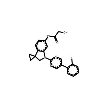 O=C(CO)Nc1ccc2c(c1)N(c1ncc(-c3ccccc3F)cn1)CC21CC1